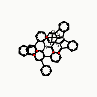 CC(C)(C)c1cccc(-c2ccccc2)c1N(C1=CC=C2C(=Cc3ccccc32)C12C=CC=C1C2=Cc2ccccc21)c1c2c(cc(-c3ccccc3)c1-c1ccccc1)-c1ccccc1C2